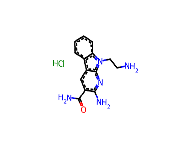 Cl.NCCn1c2ccccc2c2cc(C(N)=O)c(N)nc21